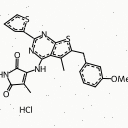 COc1cccc(Cc2sc3nc(-c4cccs4)nc(NC4=C(C)C(=O)NC4=O)c3c2C)c1.Cl